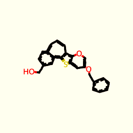 OCc1ccc2c(c1)=c1sc3c(c1C=CC=2)OC=C(OCc1ccccc1)C=3